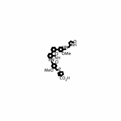 COc1cc(-c2cccc(-c3cccc(NCc4cc(OC)c(CN(C)C56CCC(C(=O)O)(CC5)C6)cc4Cl)c3C=N)c2Cl)ccc1CNCC1CCC(=O)N1